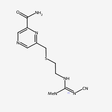 CN/C(=N/C#N)NCCSCc1cncc(C(N)=O)n1